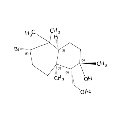 CC(=O)OC[C@@H]1[C@@]2(C)CC[C@H](Br)C(C)(C)[C@H]2CC[C@]1(C)O